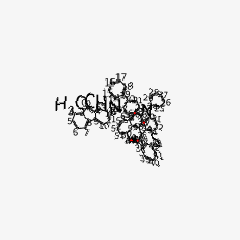 CC1(C)c2ccccc2-c2ccc(-n3c4ccccc4c4cc(N(c5ccccc5)c5ccc6c(c5)C5(c7ccccc7S6)c6ccccc6-c6cccc7cccc5c67)ccc43)cc21